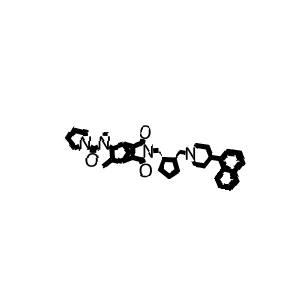 CC1C2CC(C3C(=O)N(C[C@H]4CCC[C@@H]4CN4CCC(c5cccc6ccccc56)CC4)C(=O)C23)C1N(C)C(=O)N1CCCC1